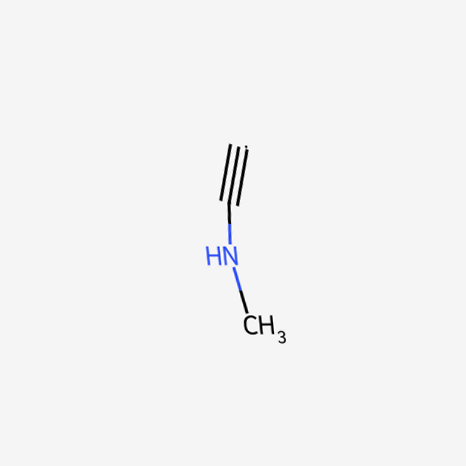 [C]#CNC